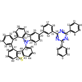 c1ccc(-c2nc(-c3ccccc3)nc(-c3cccc(-c4ccc5c(c4)c4cccc6c7ccccc7c7cccc8sc9cccc(c9c87)n5c64)c3)n2)cc1